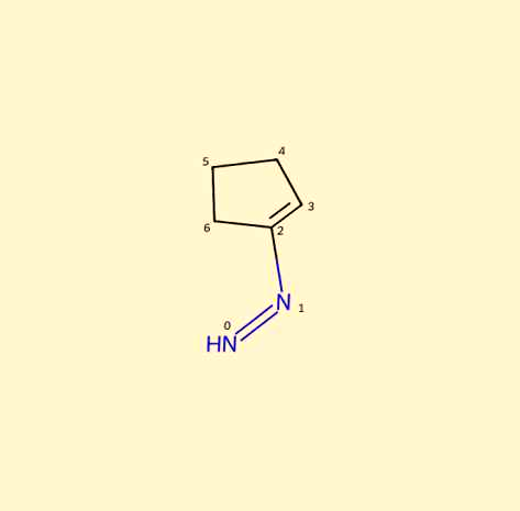 N=NC1=CCCC1